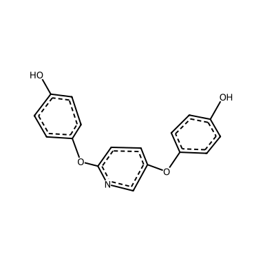 Oc1ccc(Oc2ccc(Oc3ccc(O)cc3)nc2)cc1